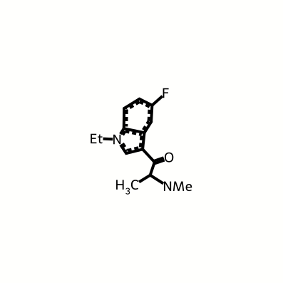 CCn1cc(C(=O)C(C)NC)c2cc(F)ccc21